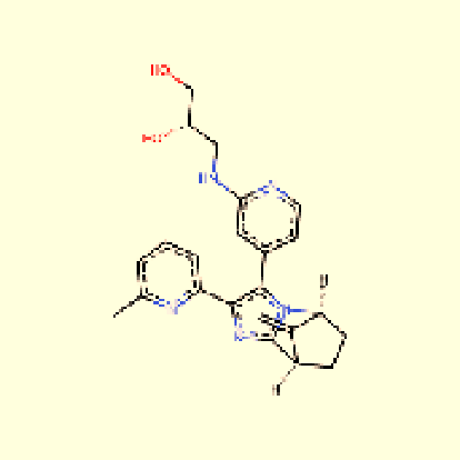 C=C1[C@H]2CC[C@@H]1n1c2nc(-c2cccc(C)n2)c1-c1ccnc(NC[C@H](O)CO)c1